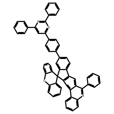 c1ccc(-c2cc(-c3ccc(-c4ccc5c(c4)C4(c6ccccc6Oc6ccccc64)c4cc6c(cc4-5)c(-c4ccccc4)nc4ccccc46)cc3)nc(-c3ccccc3)n2)cc1